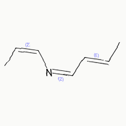 C\C=C/N=C\C=C\C